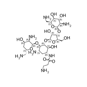 NCCS(=O)(=O)N[C@@H]1C[C@H](N)[C@@H](O[C@H]2O[C@H](CN)C[C@@H](O)[C@H]2N)[C@H](O[C@@H]2O[C@H](CO)[C@@H](O[C@H]3O[C@@H](CN)[C@@H](O)[C@H](O)[C@H]3N)[C@H]2O)[C@H]1O